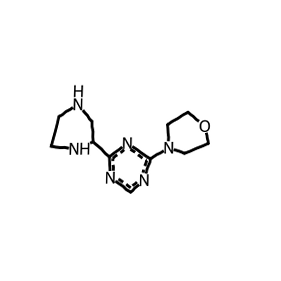 c1nc(C2CNCCN2)nc(N2CCOCC2)n1